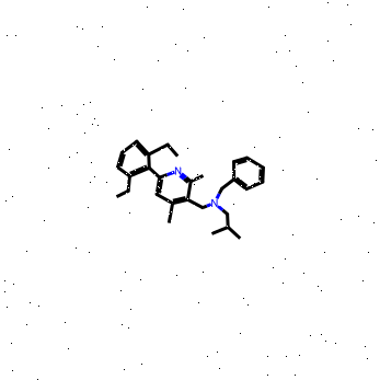 CCc1cccc(CC)c1-c1cc(C)c(CN(Cc2ccccc2)CC(C)C)c(C)n1